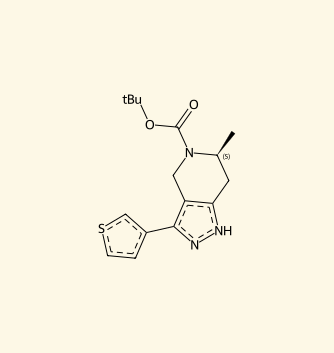 C[C@H]1Cc2[nH]nc(-c3ccsc3)c2CN1C(=O)OC(C)(C)C